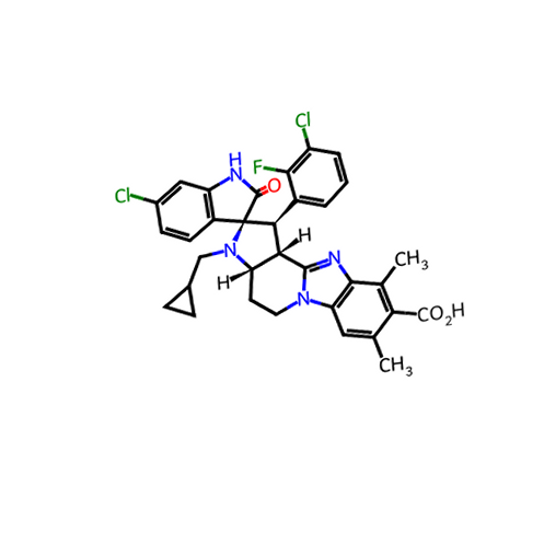 Cc1cc2c(nc3n2CC[C@H]2[C@@H]3[C@H](c3cccc(Cl)c3F)[C@]3(C(=O)Nc4cc(Cl)ccc43)N2CC2CC2)c(C)c1C(=O)O